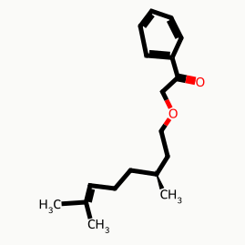 CC(C)=CCC[C@H](C)CCOCC(=O)c1ccccc1